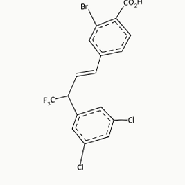 O=C(O)c1ccc(/C=C/C(c2cc(Cl)cc(Cl)c2)C(F)(F)F)cc1Br